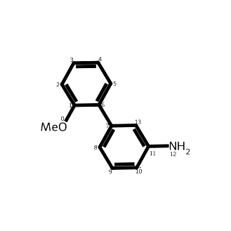 COc1ccccc1-c1cc[c]c(N)c1